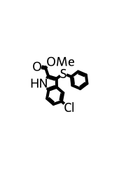 COC(=O)c1[nH]c2ccc(Cl)cc2c1Sc1ccccc1